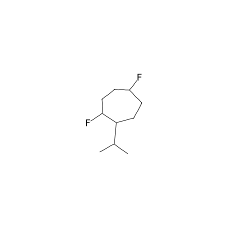 CC(C)C1CCC(F)CCC1F